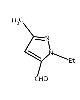 CCn1nc(C)cc1C=O